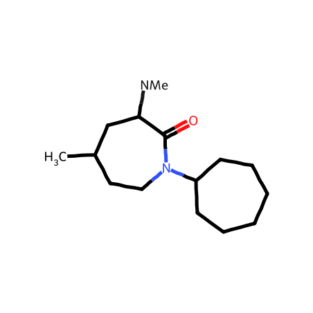 CNC1CC(C)CCN(C2CCCCCC2)C1=O